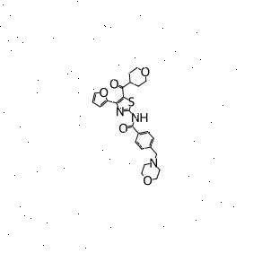 O=C(Nc1nc(-c2ccco2)c(C(=O)C2CCOCC2)s1)c1ccc(CN2CCOCC2)cc1